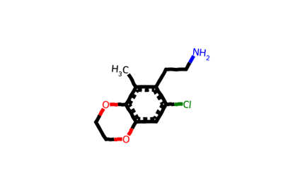 Cc1c(CCN)c(Cl)cc2c1OCCO2